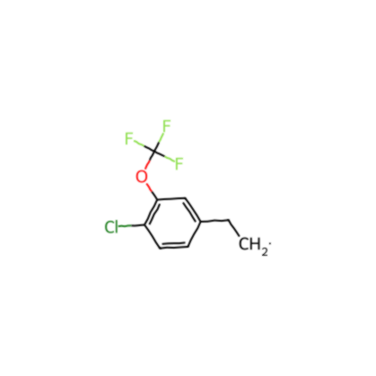 [CH2]Cc1ccc(Cl)c(OC(F)(F)F)c1